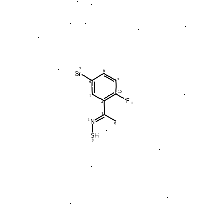 C/C(=N\S)c1cc(Br)ccc1F